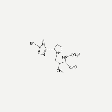 CC(CN1CCCC1c1ncc(Br)[nH]1)C(C=O)NC(=O)O